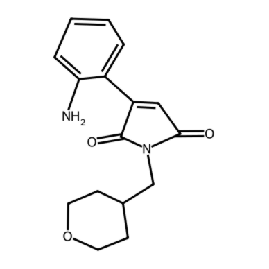 Nc1ccccc1C1=CC(=O)N(CC2CCOCC2)C1=O